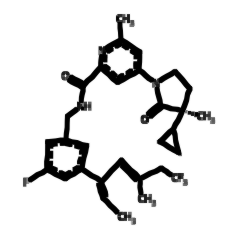 C/C=C(\C=C(/C)CC(F)(F)F)c1cc(F)cc(CNC(=O)c2cc(N3CC[C@@](C)(C4CC4)C3=O)cc(C)n2)c1